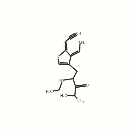 C#C/C=c1/scc(CC(NCC)C(=O)C(C)C)/c1=C/C